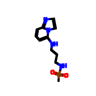 CS(=O)(=O)NCCCNc1cccc2nccn12